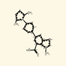 Cc1ccc(C)n1-c1ccc(-c2cc(C(=O)O)c3c(c2)ncn3C)cc1